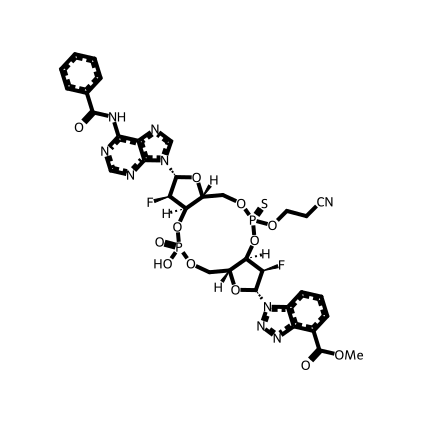 COC(=O)c1cccc2c1nnn2[C@@H]1O[C@@H]2COP(=O)(O)O[C@H]3[C@@H](F)[C@H](n4cnc5c(NC(=O)c6ccccc6)ncnc54)O[C@@H]3COP(=S)(OCCC#N)O[C@H]2[C@H]1F